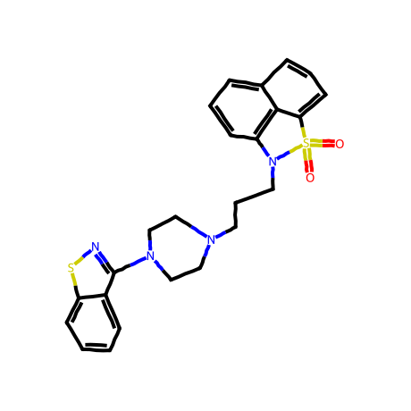 O=S1(=O)c2cccc3cccc(c23)N1CCCN1CCN(c2nsc3ccccc23)CC1